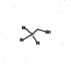 CC[P+](CC)(CC)CO